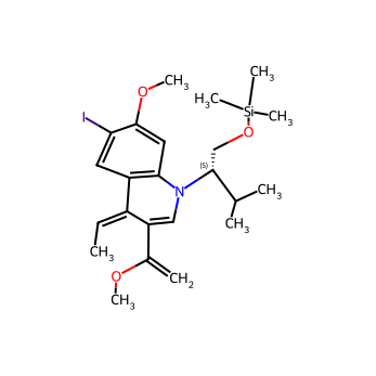 C=C(OC)C1=CN([C@H](CO[Si](C)(C)C)C(C)C)c2cc(OC)c(I)cc2C1=CC